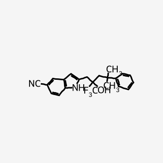 CC(C)(CC(O)(Cc1cc2cc(C#N)ccc2[nH]1)C(F)(F)F)c1ccccc1